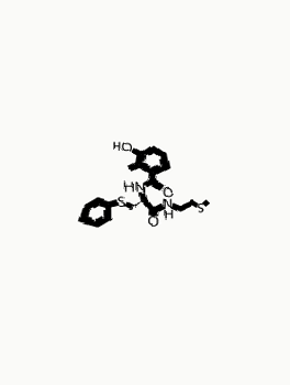 CSCCNC(=O)[C@H](CSc1ccccc1)NC(=O)c1cccc(O)c1C